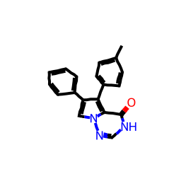 Cc1ccc(-c2c(-c3ccccc3)cn3nc[nH]c(=O)c23)cc1